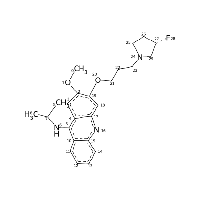 COc1cc2c(NC(C)C)c3ccccc3nc2cc1OCCCN1CC[C@H](F)C1